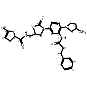 NC1CCN(c2ccc(N3CC(CNC(=O)C4CC=C(Cl)S4)OC3=O)cc2NC(=O)CCc2ccccc2)C1